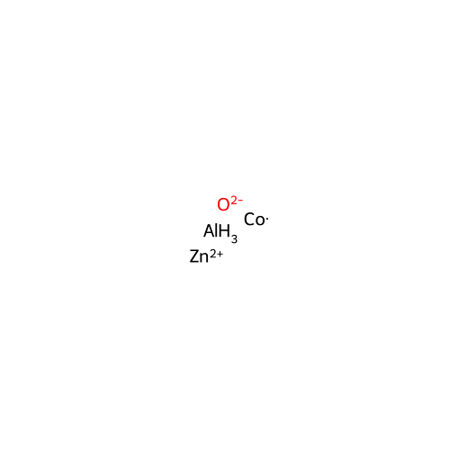 [AlH3].[Co].[O-2].[Zn+2]